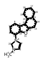 CN1C=CN(c2cccc3c2oc2ccc4ccccc4c23)C1